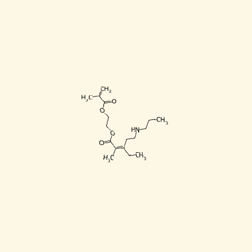 C=C(C)C(=O)OCCOC(=O)C(C)=C(CC)CCNCCC